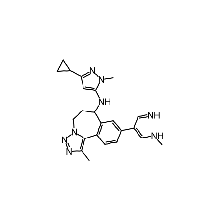 CN/C=C(\C=N)c1ccc2c(c1)C(Nc1cc(C3CC3)nn1C)CCn1nnc(C)c1-2